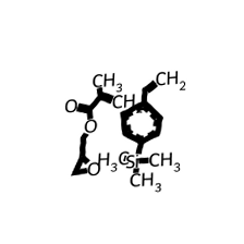 C=C(C)C(=O)OCC1CO1.C=Cc1ccc([Si](C)(C)C)cc1